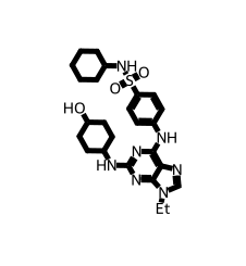 CCn1cnc2c(Nc3ccc(S(=O)(=O)NC4CCCCC4)cc3)nc(NC3CCC(O)CC3)nc21